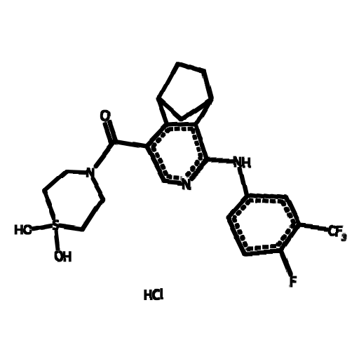 Cl.O=C(c1cnc(Nc2ccc(F)c(C(F)(F)F)c2)c2c1C1CCC2C1)N1CCS(O)(O)CC1